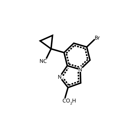 N#CC1(c2cc(Br)cn3cc(C(=O)O)nc23)CC1